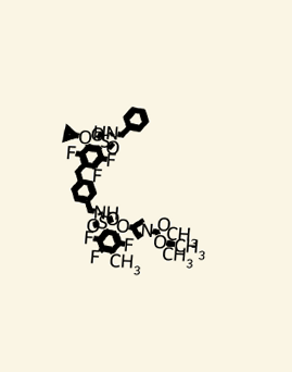 Cc1c(F)c(F)c(S(=O)(=O)NCc2ccc(Cc3c(F)c(F)c(S(=O)(=O)NCc4ccccc4)c(OC4CC4)c3F)cc2)c(OC2CN(C(=O)OC(C)(C)C)C2)c1F